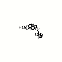 CC(CCC(=O)N1OCC[C@@H]1C)[C@H]1CC[C@H]2[C@@H]3CC=C4C[C@@H](O)CC[C@]4(C)[C@H]3CC[C@]12C